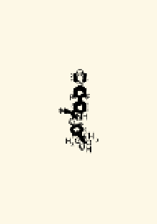 CC(C)(C(=O)O)C1CCC(Oc2[nH]c3ccc(-c4c(F)cc(N5CCOCC5)cc4F)cc3c2C#N)CC1